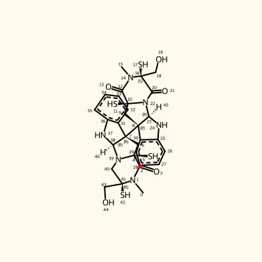 CN1C(=O)[C@@]2(S)C[C@]3([C@]45C[C@]6(S)C(=O)N(C)[C@](S)(CO)C(=O)N6[C@H]4Nc4ccccc45)c4ccccc4N[C@@H]3N2C[C@@]1(S)CO